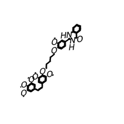 COc1cc(C2NC(=O)c3ccccc3N2)ccc1OCCCCCOc1c(OC)cc(/C=C\c2cc(OC)c(OC)c(OC)c2)cc1OC